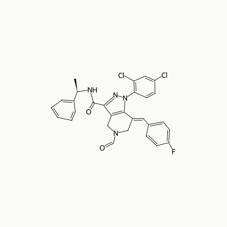 C[C@@H](NC(=O)c1nn(-c2ccc(Cl)cc2Cl)c2c1CN(C=O)C/C2=C\c1ccc(F)cc1)c1ccccc1